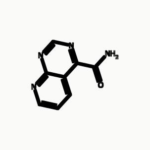 NC(=O)c1ncnc2ncccc12